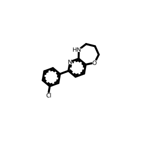 Clc1cccc(-c2ccc3c(n2)NCCCO3)c1